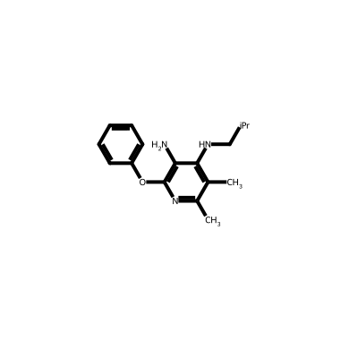 Cc1nc(Oc2ccccc2)c(N)c(NCC(C)C)c1C